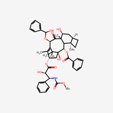 CC(=O)O[C@@]12CC[C@@H]1C[C@H](O)[C@@]1(C)C(=O)[C@H](OC(O)c3ccccc3)C3=C(C)[C@@H](OC(=O)[C@H](O)[C@@H](NC(=O)OC(C)(C)C)c4ccccc4)C[C@@](O)([C@@H](OC(=O)c4ccccc4)C12)C3(C)C